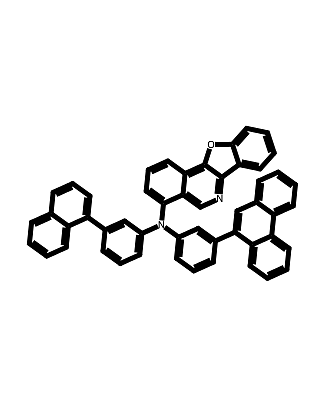 c1cc(-c2cccc3ccccc23)cc(N(c2cccc(-c3cc4ccccc4c4ccccc34)c2)c2cccc3c2cnc2c4ccccc4oc32)c1